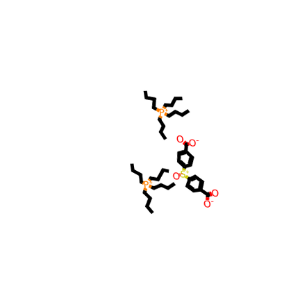 CCCC[P+](CCCC)(CCCC)CCCC.CCCC[P+](CCCC)(CCCC)CCCC.O=C([O-])c1ccc([S+]([O-])c2ccc(C(=O)[O-])cc2)cc1